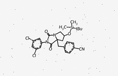 CC(C)(C)[Si](C)(C)OC1CN2C(=O)N(c3cc(Cl)cc(Cl)c3)C(=O)C2(Cc2ccc(C#N)cc2)C1